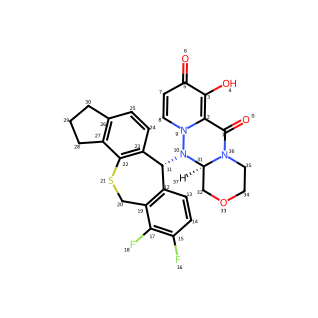 O=C1c2c(O)c(=O)ccn2N([C@@H]2c3ccc(F)c(F)c3CSc3c2ccc2c3CCC2)[C@@H]2COCCN12